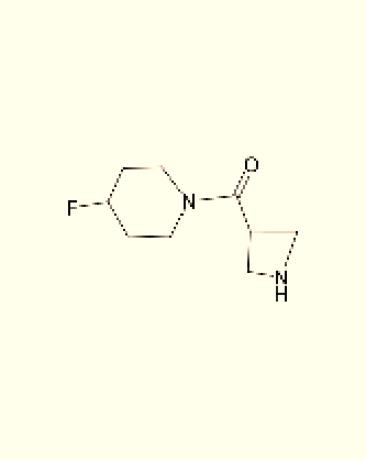 O=C(C1CNC1)N1CCC(F)CC1